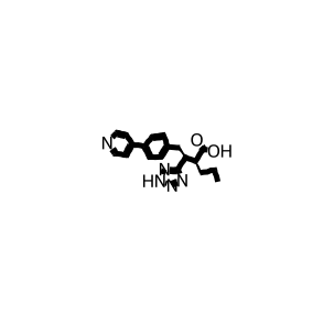 CCC[C@H](C(=O)O)[C@H](Cc1ccc(-c2ccncc2)cc1)c1nn[nH]n1